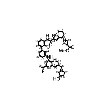 COC(=O)C1CN([C@@H]2CCCn3nc(C(=O)Nc4cccc(-c5cccc(Nc6nc(C(F)F)nc7cc(CN8CC[C@@H](O)C8)cnc67)c5Cl)c4Cl)cc32)C1